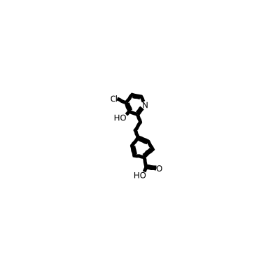 O=C(O)c1ccc(CCc2nccc(Cl)c2O)cc1